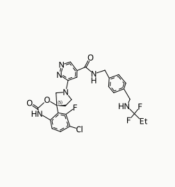 CCC(F)(F)NCc1ccc(CNC(=O)c2cnnc(N3CC[C@]4(C3)OC(=O)Nc3ccc(Cl)c(F)c34)c2)cc1